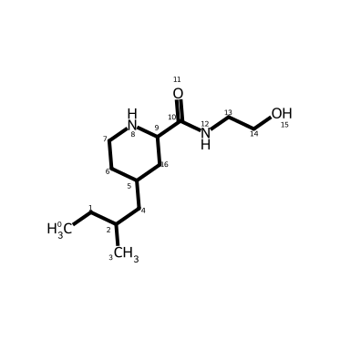 CCC(C)CC1CCNC(C(=O)NCCO)C1